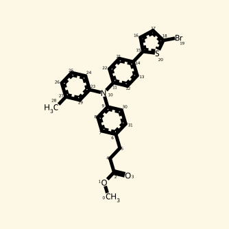 COC(=O)CCc1ccc(N(c2ccc(-c3ccc(Br)s3)cc2)c2cccc(C)c2)cc1